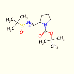 CC(C)(C)OC(=O)N1CCCC1/C=N/[S+]([O-])C(C)(C)C